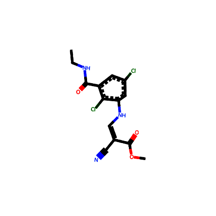 CCNC(=O)c1cc(Cl)cc(NC=C(C#N)C(=O)OC)c1Cl